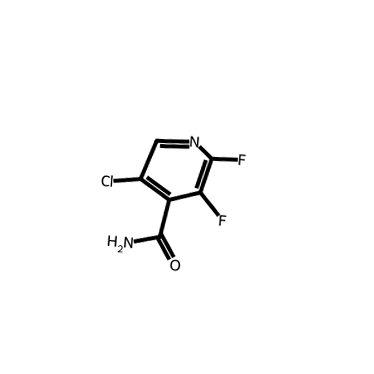 NC(=O)c1c(Cl)cnc(F)c1F